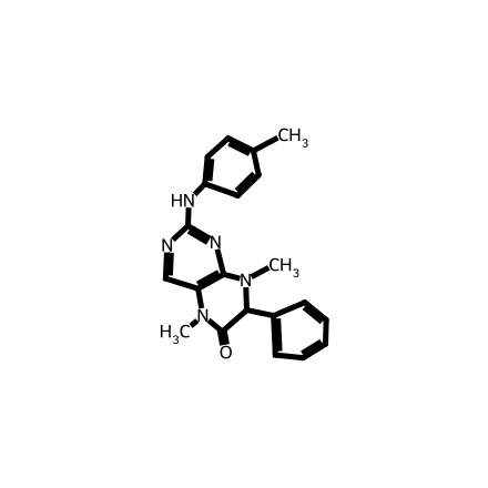 Cc1ccc(Nc2ncc3c(n2)N(C)C(c2ccccc2)C(=O)N3C)cc1